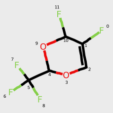 FC1=COC(C(F)(F)F)OC1F